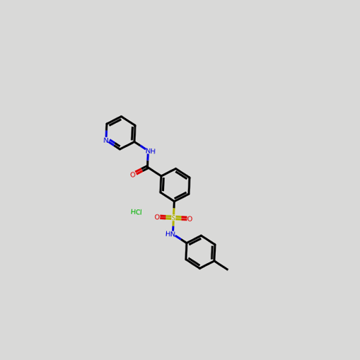 Cc1ccc(NS(=O)(=O)c2cccc(C(=O)Nc3cccnc3)c2)cc1.Cl